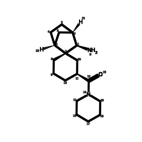 N[C@@H]1[C@@H]2CC[C@@H](C2)[C@]12CCC[C@H](C(=O)N1CCCCC1)C2